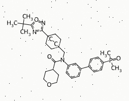 CC(C)(C)c1nc(C23CCC(CN(C(=O)C4CCOCC4)c4cccc(-c5ccc(P(C)(C)=O)cc5)c4)(CC2)CC3)no1